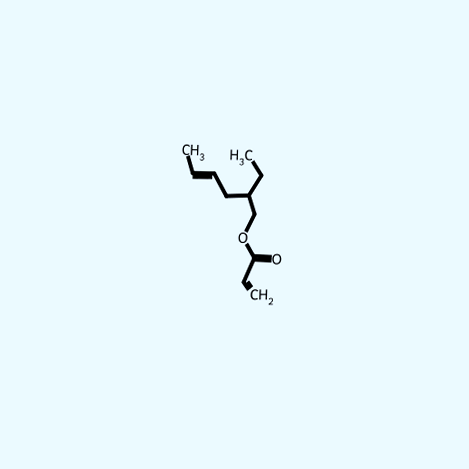 C=CC(=O)OCC(CC)CC=CC